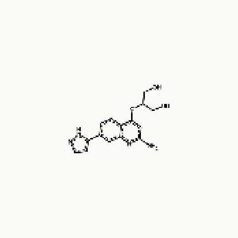 Nc1cc(OC(CO)CO)c2ccc(-c3ccn[nH]3)cc2n1